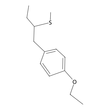 CCOc1ccc(CC(CC)SC)cc1